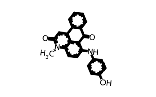 Cn1c(=O)cc2c3c(c(Nc4ccc(O)cc4)ccc31)C(=O)c1ccccc1-2